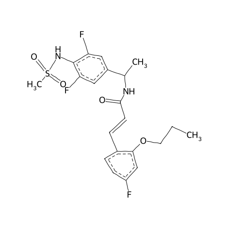 CCCOc1cc(F)ccc1C=CC(=O)NC(C)c1cc(F)c(NS(C)(=O)=O)c(F)c1